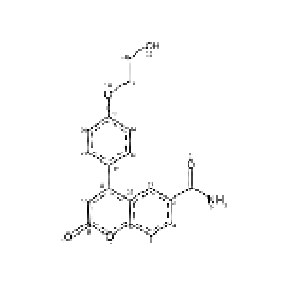 NC(=O)c1ccc2oc(=O)cc(-c3ccc(OCCO)cc3)c2c1